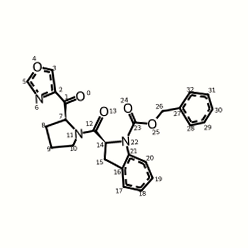 O=C(c1cocn1)[C@@H]1CCCN1C(=O)[C@@H]1Cc2ccccc2N1C(=O)OCc1ccccc1